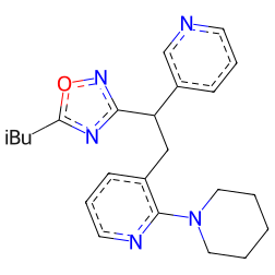 CCC(C)c1nc(C(Cc2cccnc2N2CCCCC2)c2cccnc2)no1